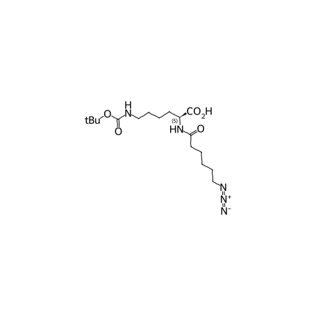 CC(C)(C)OC(=O)NCCCC[C@H](NC(=O)CCCCCN=[N+]=[N-])C(=O)O